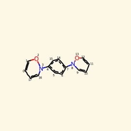 C1=CON(c2ccc(N3C=CC=CO3)cc2)C=C1